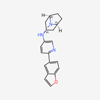 CN1[C@@H]2CC[C@H]1C[C@@H](Nc1ccc(-c3ccc4occc4c3)nc1)C2